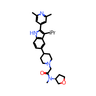 Cc1cc(-c2[nH]c3ccc(C4CCN(CC(=O)N(C)[C@H]5CCOC5)CC4)cc3c2C(C)C)cc(C)n1